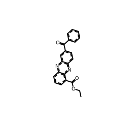 CCOC(=O)c1cccc2nc3cc(C(=O)c4ccccc4)ccc3nc12